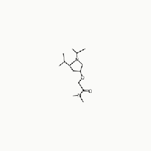 CC(C)C1CC(OCC(=O)N(C)C)CN1C(C)C